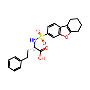 O=C(O)[C@H](CCc1ccccc1)NS(=O)(=O)c1ccc2c3c(oc2c1)CCCC3